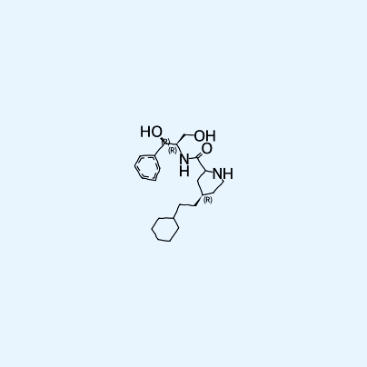 O=C(N[C@H](CO)[C@H](O)c1ccccc1)C1C[C@H](CCC2CCCCC2)CCN1